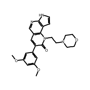 COc1cc(OC)cc(-c2cc3cnc4[nH]ccc4c3n(CCN3CCOCC3)c2=O)c1